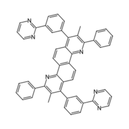 Cc1c(-c2ccccc2)nc2c(ccc3c2ccc2c(-c4cccc(-c5ncccn5)c4)c(C)c(-c4ccccc4)nc23)c1-c1cccc(-c2ncccn2)c1